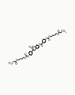 C=CC(=O)OCCCCOC(=O)Oc1ccc(C(=O)Cc2ccc(OC(=O)c3ccc(OC(=O)OCCCCOC(=O)C=C)cc3)cc2C)cc1